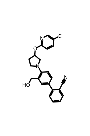 N#Cc1ccccc1-c1ccc(N2CCC(Oc3ccc(Cl)cn3)C2)c(CO)c1